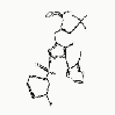 CC(C)(C)CN(Cc1cn(S(=O)(=O)c2cccc(F)c2)c(-c2cccnc2F)c1F)C(=O)O